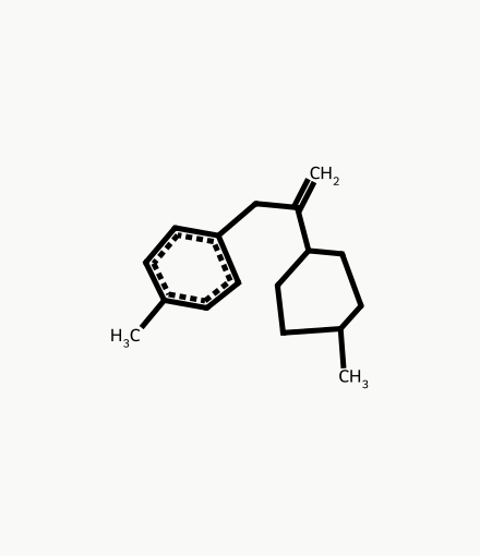 C=C(Cc1ccc(C)cc1)C1CCC(C)CC1